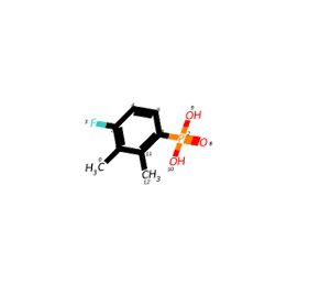 Cc1c(F)ccc(P(=O)(O)O)c1C